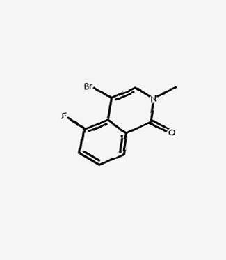 Cn1cc(Br)c2c(F)cccc2c1=O